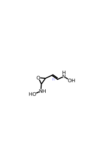 ON/C=C/C1OC1NO